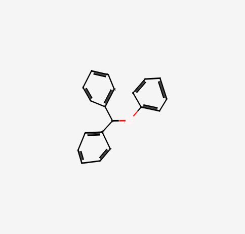 [c]1ccc(OC(c2ccccc2)c2ccccc2)cc1